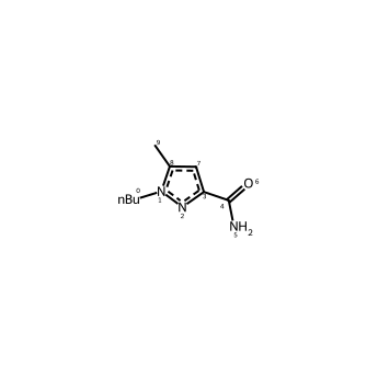 CCCCn1nc(C(N)=O)cc1C